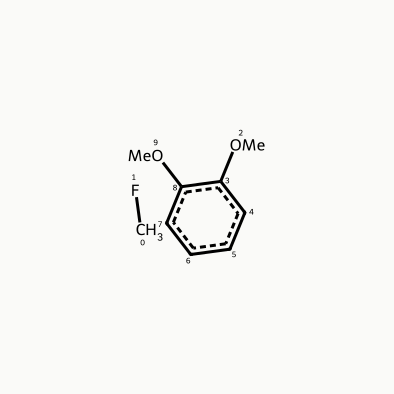 CF.COc1ccccc1OC